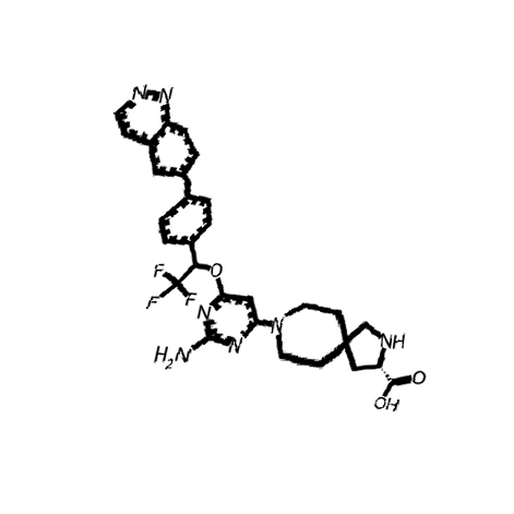 Nc1nc(OC(c2ccc(-c3ccc4nnccc4c3)cc2)C(F)(F)F)cc(N2CCC3(CC2)CN[C@H](C(=O)O)C3)n1